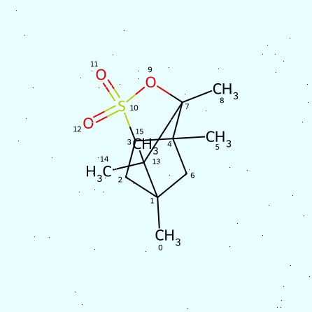 CC12CC3C(C)(C1)C(C)(OS3(=O)=O)C2(C)C